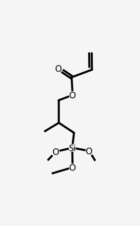 C=CC(=O)OCC(C)C[Si](OC)(OC)OC